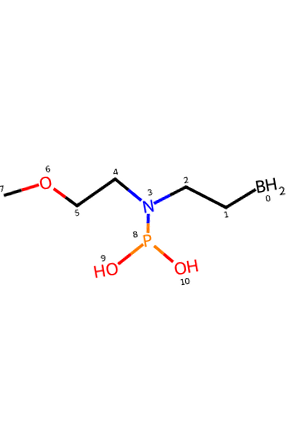 BCCN(CCOC)P(O)O